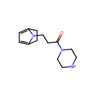 O=C(CCn1c2ccc1CC2)N1CCNCC1